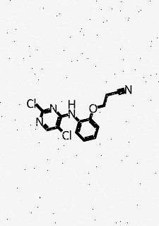 N#CCCOc1ccccc1Nc1nc(Cl)ncc1Cl